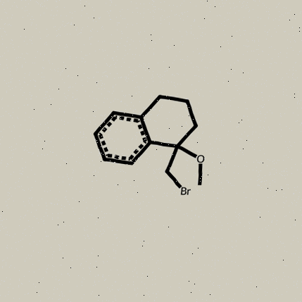 COC1(CBr)CCCc2ccccc21